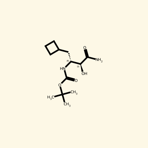 CC(C)(C)OC(=O)N[C@H](CC1CCC1)[C@H](O)C(N)=O